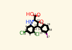 O=C(O)C1Nc2cc(Cl)cc(Cl)c2C2c3cc(I)ccc3OC12